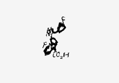 O=C(O)Cc1c2c(n3c(F)cccc13)CC(n1nncc1Cc1ccc(F)cc1)CC2